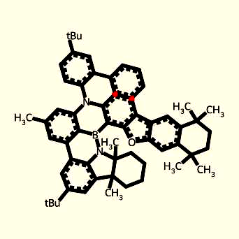 Cc1cc2c3c(c1)N(c1ccc(C(C)(C)C)cc1-c1ccccc1)c1ccc4c(oc5cc6c(cc54)C(C)(C)CCC6(C)C)c1B3N1c3c-2cc(C(C)(C)C)cc3C2(C)CCCCC12C